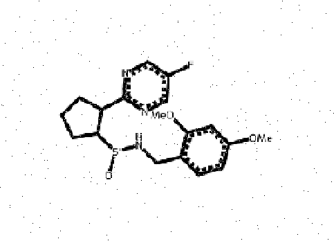 COc1ccc(CN[S+]([O-])C2CCCC2c2ncc(F)cn2)c(OC)c1